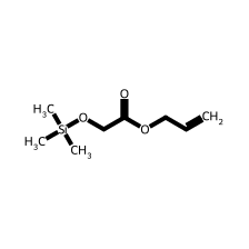 C=CCOC(=O)CO[Si](C)(C)C